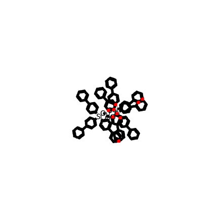 [O]=[V]([O][Si](c1ccc(-c2ccccc2)cc1)(c1ccc(-c2ccccc2)cc1)c1ccc(-c2ccccc2)cc1)([O][Si](c1ccc(-c2ccccc2)cc1)(c1ccc(-c2ccccc2)cc1)c1ccc(-c2ccccc2)cc1)[O][Si](c1ccc(-c2ccccc2)cc1)(c1ccc(-c2ccccc2)cc1)c1ccc(-c2ccccc2)cc1